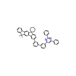 CC1(C)c2ccccc2-c2cc3c(cc21)-c1cc(-c2cccc(-c4cccc(-c5cc(-c6ccccc6)nc(-c6ccccc6)n5)c4)c2)ccc1C31CCCCC1